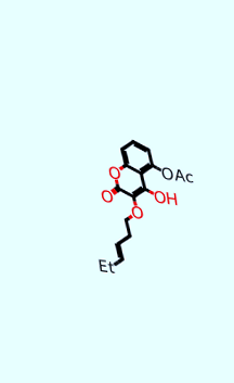 CCC=CCCOc1c(O)c2c(OC(C)=O)cccc2oc1=O